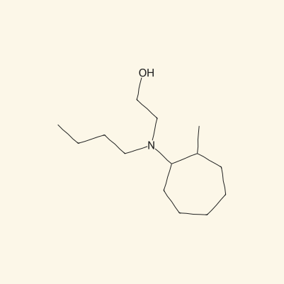 CCCCN(CCO)C1CCCCCC1C